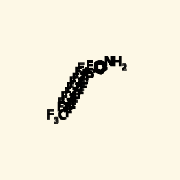 Nc1ccc(SC(F)(F)C(F)(F)C(F)(F)C(F)(F)C(F)(F)C(F)(F)C(F)(F)C(F)(F)C(F)(F)C(F)(F)F)cc1